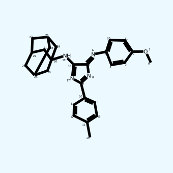 COc1ccc(/N=C2\N=C(c3ccc(C)cc3)N=C2NC23CC4CC(CC(C4)C2)C3)cc1